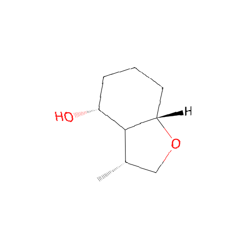 C[C@H]1CO[C@H]2CCC[C@@H](O)C21